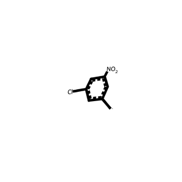 [CH2]c1cc(Cl)cc([N+](=O)[O-])c1